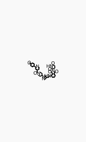 COc1ccc(-c2cc(C(=O)N3CCC(n4cc(CNc5cccc6c5C(=O)N(C5CCC(=O)NC5=O)C6=O)cn4)CC3)ccn2)cc1